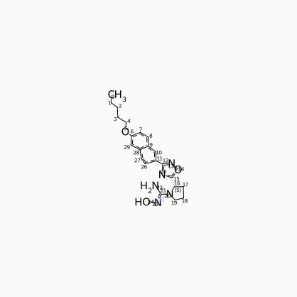 CCCCCOc1ccc2cc(-c3noc([C@@H]4CCCN4/C(N)=N/O)n3)ccc2c1